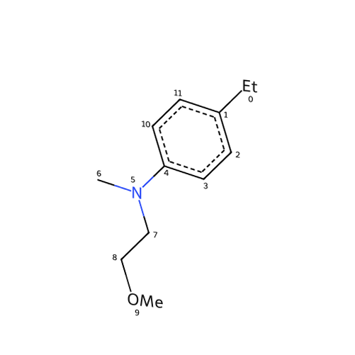 CCc1ccc(N(C)CCOC)cc1